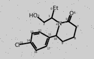 CCC(CO)N1C(=O)CCCC1c1ccc(Cl)cc1